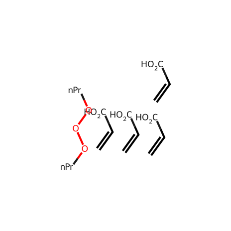 C=CC(=O)O.C=CC(=O)O.C=CC(=O)O.C=CC(=O)O.CCCOOOCCC